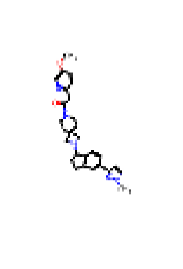 COc1ccc(CC(=O)N2CCC3(CC2)CN(C2CCc4cc(-c5ccn(C)n5)ccc42)C3)nc1